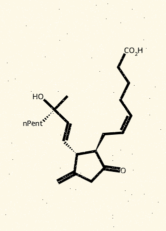 C=C1CC(=O)[C@H](C/C=C\CCCC(=O)O)[C@H]1/C=C/[C@](C)(O)CCCCC